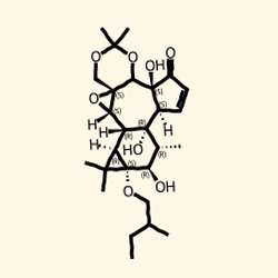 CCC(C)CO[C@@]12[C@H](O)[C@@H](C)[C@@]3(O)[C@H]([C@@H]1C2(C)C)[C@@H]1O[C@@]12COC(C)(C)OC2[C@]1(O)C(=O)C=C[C@@H]31